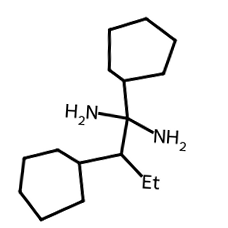 CCC(C1CCCCC1)C(N)(N)C1CCCCC1